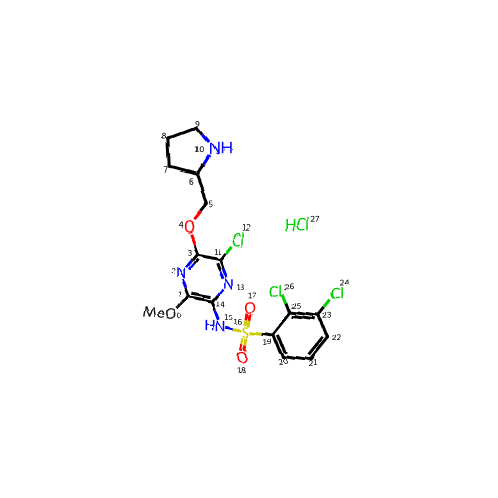 COc1nc(OCC2CCCN2)c(Cl)nc1NS(=O)(=O)c1cccc(Cl)c1Cl.Cl